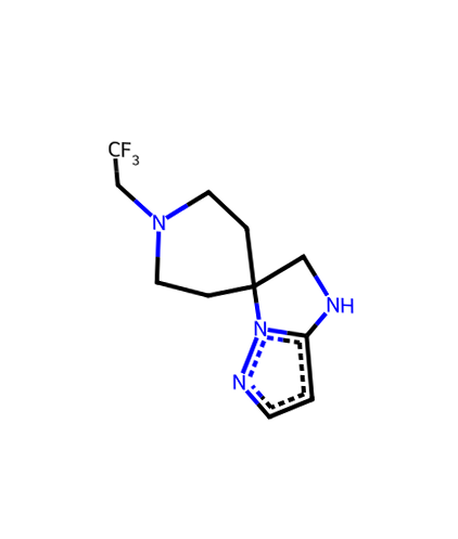 FC(F)(F)CN1CCC2(CC1)CNc1ccnn12